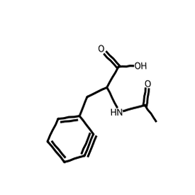 CC(=O)NC(Cc1c#cccc1)C(=O)O